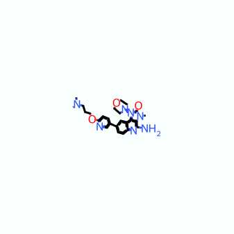 CN(C)CCCOc1ccc(-c2ccc3nc(N)c4c(c3c2)n(N2CCOCC2)c(=O)n4C)cn1